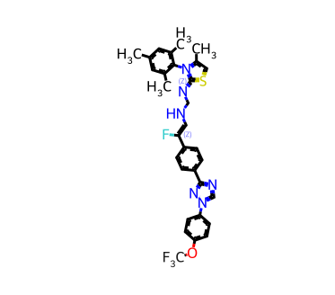 Cc1cc(C)c(-n2c(C)cs/c2=N\CN/C=C(\F)c2ccc(-c3ncn(-c4ccc(OC(F)(F)F)cc4)n3)cc2)c(C)c1